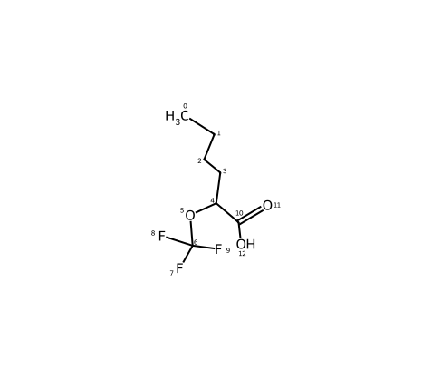 CCCCC(OC(F)(F)F)C(=O)O